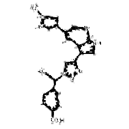 CC(c1ccc(C(=O)O)cc1)n1cc(-c2c[nH]c3ncc(-c4cnn(C)c4)cc23)nn1